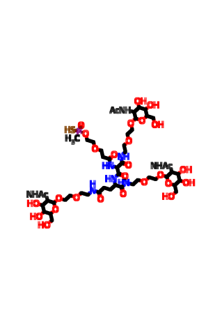 CC(=O)NC1C(OCCOCCNC(=O)CCC(NC(=O)C(NC(=O)CCOCCOP(C)(=O)S)C(=O)NCCOCCOC2OC(CO)C(O)C(O)C2NC(C)=O)C(=O)NCCOCCOC2OC(CO)C(O)C(O)C2NC(C)=O)OC(CO)C(O)C1O